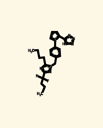 CCCCc1nc(C(F)(F)CCC)nn1Cc1ccc(-n2cccc2-c2nnn[nH]2)cc1